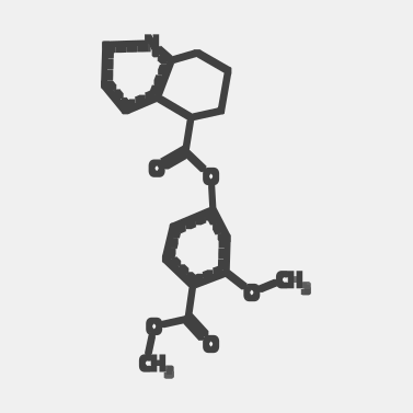 COC(=O)c1ccc(OC(=O)C2CCCc3ncccc32)cc1OC